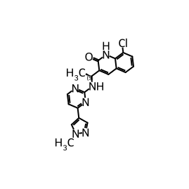 C[C@H](Nc1nccc(-c2cnn(C)c2)n1)c1cc2cccc(Cl)c2[nH]c1=O